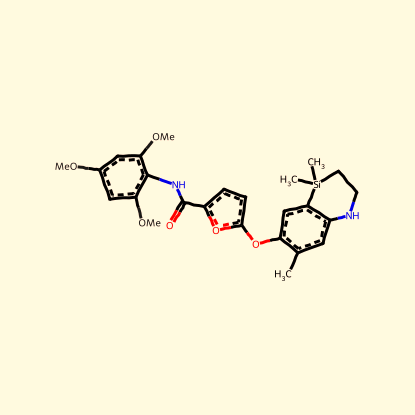 COc1cc(OC)c(NC(=O)c2ccc(Oc3cc4c(cc3C)NCC[Si]4(C)C)o2)c(OC)c1